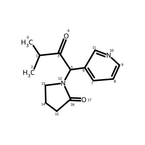 CC(C)C(=O)C(c1cccnc1)N1CCCC1=O